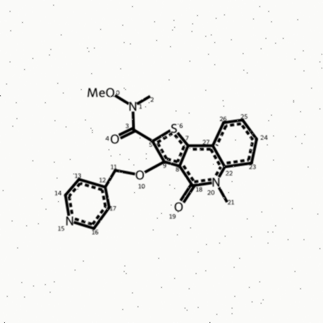 CON(C)C(=O)c1sc2c(c1OCc1ccncc1)c(=O)n(C)c1ccccc21